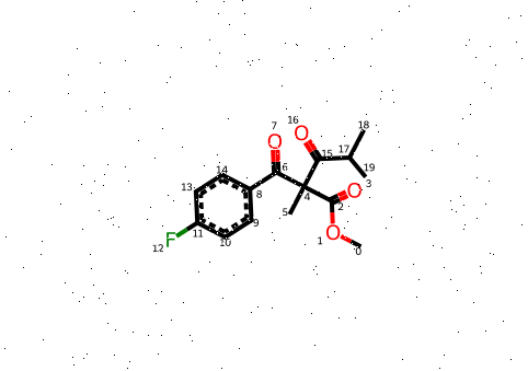 COC(=O)C(C)(C(=O)c1ccc(F)cc1)C(=O)C(C)C